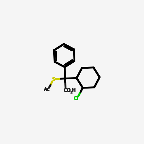 CC(=O)SC(C(=O)O)(c1ccccc1)C1CCCCC1Cl